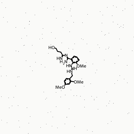 COc1ccc(CNNNc2c(OC)cccc2/C(N)=N/C(=N)CCCO)c(OC)c1